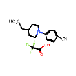 N#Cc1ccc(N2CCC(CC(=O)O)CC2)cc1.O=C(O)C(F)(F)F